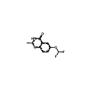 Cc1nc2ccc(OC(F)F)cc2c(=O)[nH]1